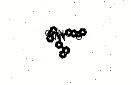 c1cc(-c2nc(-c3ccc4cc5c(cc4c3)oc3ccccc35)nc(-c3cccc4oc5ccccc5c34)n2)cc(-c2cccc3ccccc23)c1